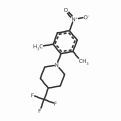 Cc1cc([N+](=O)[O-])cc(C)c1N1CCC(C(F)(F)F)CC1